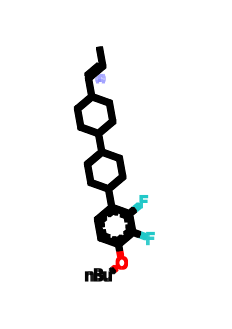 C/C=C/C1CCC(C2CCC(c3ccc(OCCCC)c(F)c3F)CC2)CC1